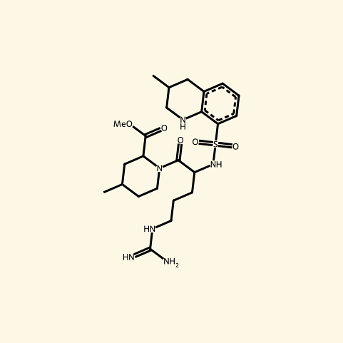 COC(=O)C1CC(C)CCN1C(=O)C(CCCNC(=N)N)NS(=O)(=O)c1cccc2c1NCC(C)C2